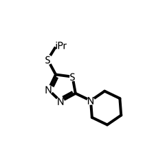 CC(C)Sc1nnc(N2CCCCC2)s1